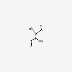 CCC(O)=C(O)CC